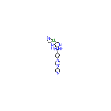 CN1CCC(Nc2c(Cl)cnc3[nH]c(-c4ccc(N5CCN(c6ccncc6)CC5)cc4)nc23)CC1